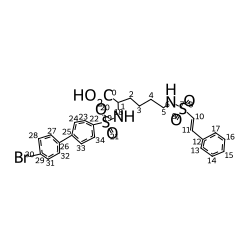 O=C(O)C(CCCCNS(=O)(=O)C=Cc1ccccc1)NS(=O)(=O)c1ccc(-c2ccc(Br)cc2)cc1